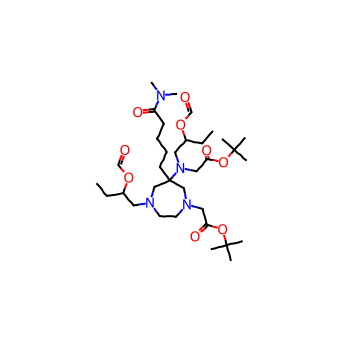 CCC(CN1CCN(CC(=O)OC(C)(C)C)CC(CCCCC(=O)N(C)C)(N(CC(=O)OC(C)(C)C)CC(CC)OC=O)C1)OC=O